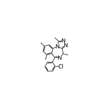 Cc1cc(C)c2c(c1)-n1c(C)nnc1C(C)N=C2c1ccccc1Cl